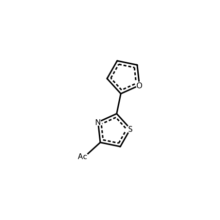 CC(=O)c1csc(-c2ccco2)n1